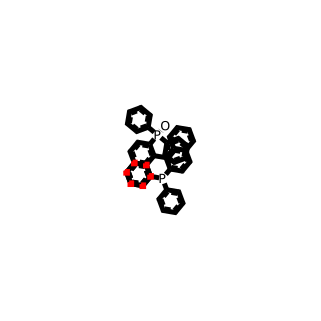 O=P(c1ccccc1)(c1ccccc1)c1ccc2ccccc2c1-c1c(P(c2ccccc2)c2ccccc2)ccc2ccccc12